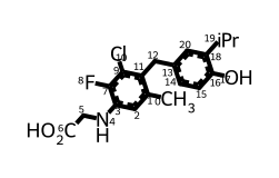 Cc1cc(NCC(=O)O)c(F)c(Cl)c1Cc1ccc(O)c(C(C)C)c1